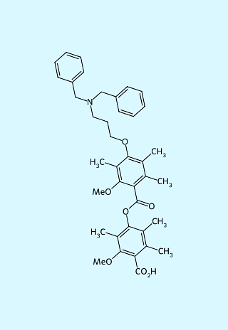 COc1c(C)c(OC(=O)c2c(C)c(C)c(OCCCN(Cc3ccccc3)Cc3ccccc3)c(C)c2OC)c(C)c(C)c1C(=O)O